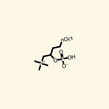 CCCCCCCCCCC(C[N+](C)(C)C)OP(=O)([O-])O